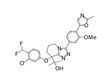 COc1cc(-c2nnc3n2CCCC3(Oc2ccc(C(F)F)c(Cl)c2)C(C)(C)O)ccc1-c1cnc(C)o1